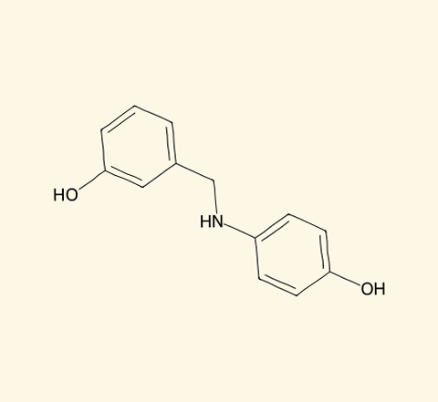 Oc1ccc(NCc2cccc(O)c2)cc1